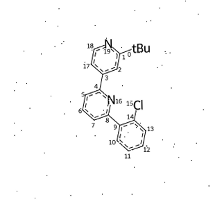 CC(C)(C)c1cc(-c2cccc(-c3cc[c]cc3Cl)n2)ccn1